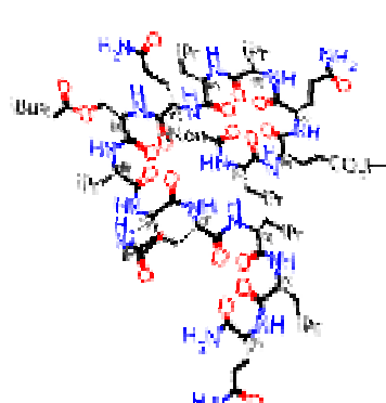 CCCCCCCCCC(=O)N[C@@H](CC(C)C)C(=O)N[C@H](CCC(=O)O)C(=O)N[C@H](CCC(N)=O)C(=O)N[C@@H](C(=O)N[C@H](CC(C)C)C(=O)N[C@@H](CCC(N)=O)C(=O)N[C@H](COC(=O)C[C@@H](C)CC)C(=O)N[C@@H](C(=O)N[C@H](CC(C)C)C(=O)N[C@@H](CCC(N)=O)C(=O)N[C@@H](CC(C)C)C(=O)N[C@@H](CC(C)C)C(=O)N[C@H](CCC(N)=O)C(N)=O)C(C)C)C(C)C